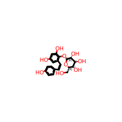 OC[C@H]1O[C@@H](Oc2c(O)cc(O)cc2C=Cc2ccc(O)cc2)[C@H](O)[C@@H](O)[C@@H]1O